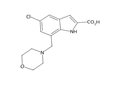 O=C(O)c1cc2cc(Cl)cc(CN3CCOCC3)c2[nH]1